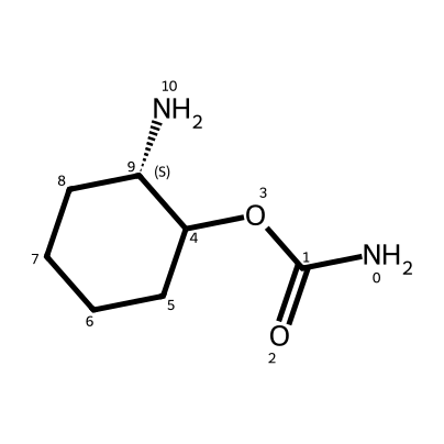 NC(=O)OC1CCCC[C@@H]1N